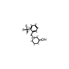 OC1CCCN(Cc2ccccc2C(F)(F)F)C1